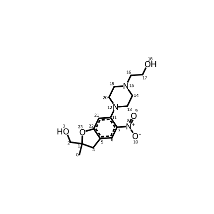 CC1(CO)Cc2cc([N+](=O)[O-])c(N3CCN(CCO)CC3)cc2O1